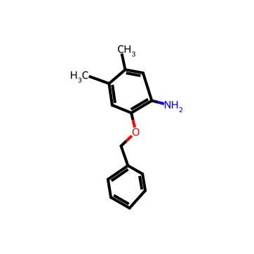 Cc1cc(N)c(OCc2ccccc2)cc1C